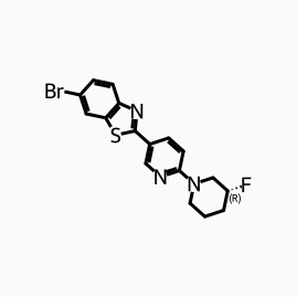 F[C@@H]1CCCN(c2ccc(-c3nc4ccc(Br)cc4s3)cn2)C1